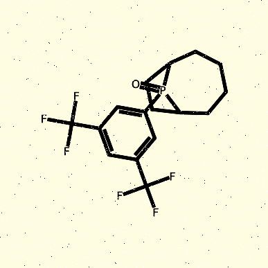 O=P1(c2cc(C(F)(F)F)cc(C(F)(F)F)c2)C2CCCCC1CC2